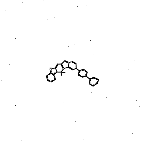 CC1(C)C2=C(C=C3C=CC(c4ccc(-c5ccccc5)cc4)C=C32)C=C2N=c3ccccc3=C21